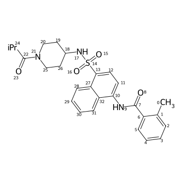 Cc1ccccc1C(=O)Nc1ccc(S(=O)(=O)NC2CCN(C(=O)C(C)C)CC2)c2ccccc12